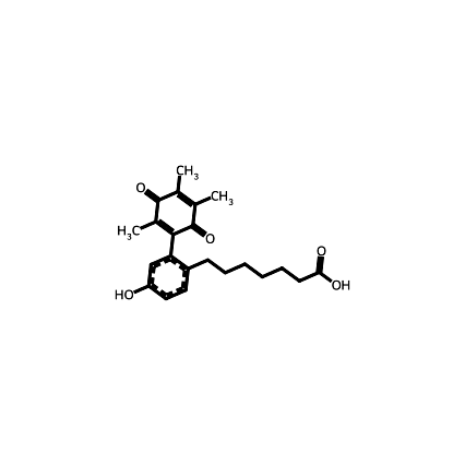 CC1=C(C)C(=O)C(c2cc(O)ccc2CCCCCCC(=O)O)=C(C)C1=O